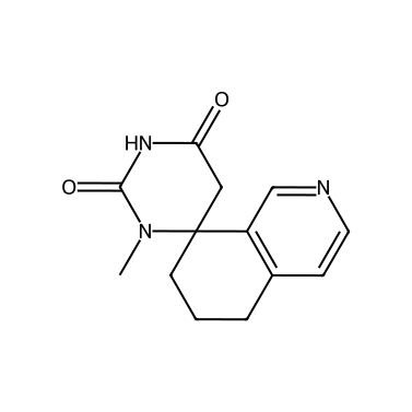 CN1C(=O)NC(=O)CC12CCCc1ccncc12